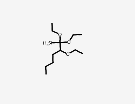 CCCCC(OCC)C([SiH3])(OCC)OCC